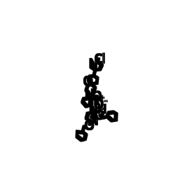 O=[N+]([O-])c1c(Nc2ccc(OCc3ccccc3)nc2OCc2ccccc2)cccc1N1CCC2(CCC(c3ccc(Cl)nc3)CO2)CC1